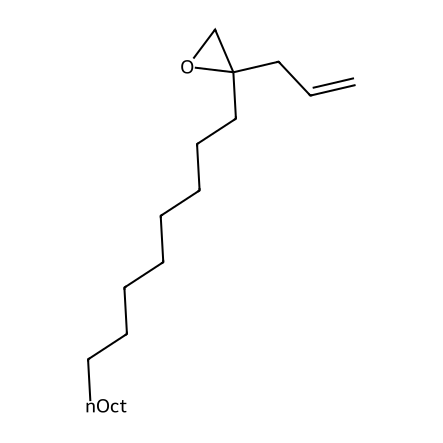 C=CCC1(CCCCCCCCCCCCCCCC)CO1